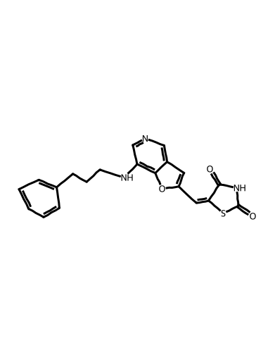 O=C1NC(=O)/C(=C\c2cc3cncc(NCCCc4ccccc4)c3o2)S1